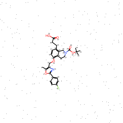 Cc1oc(-c2ccc(F)cc2)nc1COc1ccc(CCC(=O)O)c2c1CCN(C(=O)OC(C)(C)C)C2